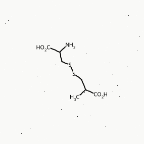 CC(CSSCC(N)C(=O)O)C(=O)O